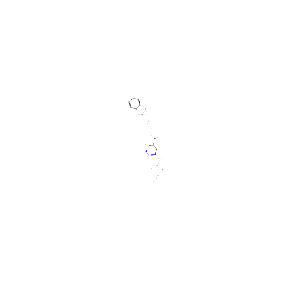 CC(=O)N1CCC(Nc2cc(C(=O)NCCCN3Cc4ccccc4C3)ncn2)CC1